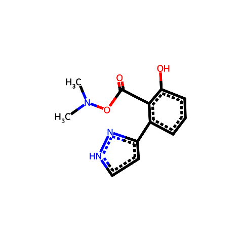 CN(C)OC(=O)c1c(O)cccc1-c1cc[nH]n1